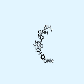 COc1ccc(C(C)(C)c2csc(NC(=O)NCc3ccc(C(=O)NCCN)nc3)n2)cc1